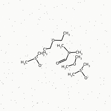 CCOCC.CN(C)C=O.COC.C[S+](C)[O-].C[S+](C)[O-]